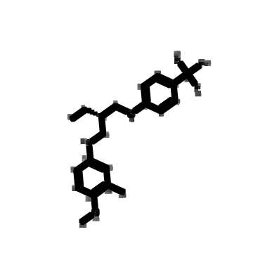 CC[C@H](COc1ccc(C(F)(F)F)cc1)CSc1ccc(OC)c(C)c1